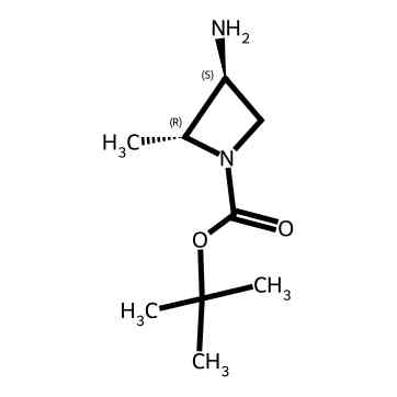 C[C@@H]1[C@@H](N)CN1C(=O)OC(C)(C)C